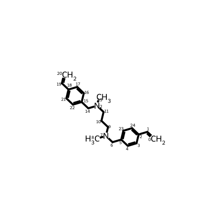 C=Cc1ccc(CN(C)CCCN(C)Cc2ccc(C=C)cc2)cc1